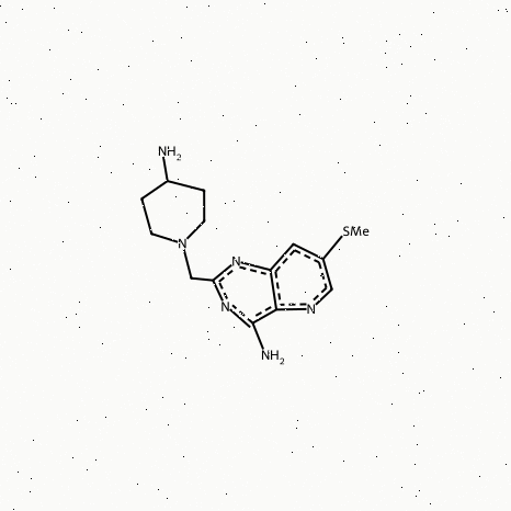 CSc1cnc2c(N)nc(CN3CCC(N)CC3)nc2c1